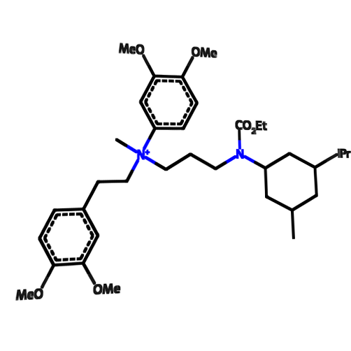 CCOC(=O)N(CCC[N+](C)(CCc1ccc(OC)c(OC)c1)c1ccc(OC)c(OC)c1)C1CC(C)CC(C(C)C)C1